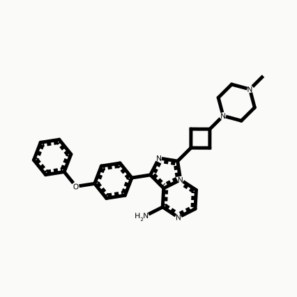 CN1CCN(C2CC(c3nc(-c4ccc(Oc5ccccc5)cc4)c4c(N)nccn34)C2)CC1